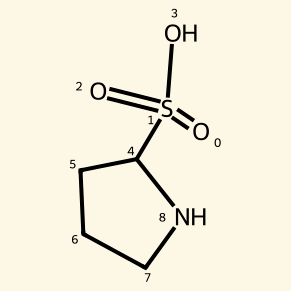 O=S(=O)(O)C1CCCN1